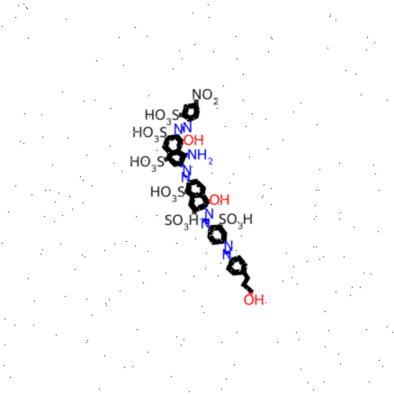 Nc1c(N=Nc2ccc3c(O)c(N=Nc4ccc(N=Nc5ccc(CCCO)cc5)cc4S(=O)(=O)O)c(S(=O)(=O)O)cc3c2S(=O)(=O)O)cc(S(=O)(=O)O)c2cc(S(=O)(=O)O)c(N=Nc3ccc([N+](=O)[O-])cc3S(=O)(=O)O)c(O)c12